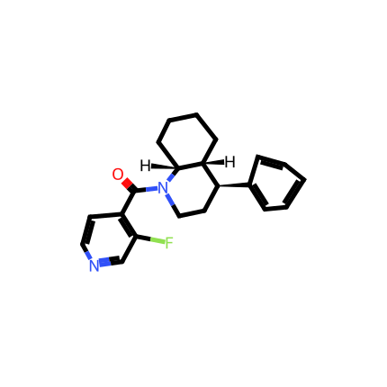 O=C(c1ccncc1F)N1CC[C@H](c2ccccc2)[C@H]2CCCC[C@H]21